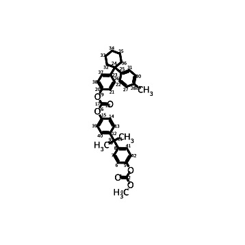 COC(=O)Oc1ccc(C(C)(C)c2ccc(OC(=O)Oc3ccc(C4(c5ccc(C)cc5)CCCCC4)cc3)cc2)cc1